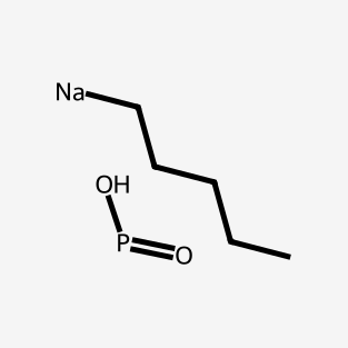 CCCC[CH2][Na].O=PO